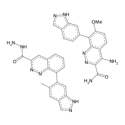 COc1ccc2c(N)c(C(N)=O)nnc2c1-c1ccc2cn[nH]c2c1.Cc1cc2cn[nH]c2cc1-c1cccc2cc(C(=O)NN)nnc12